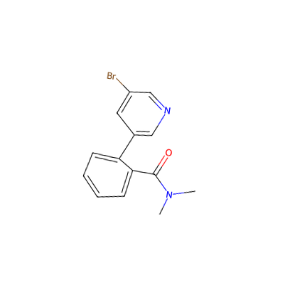 CN(C)C(=O)c1ccccc1-c1cncc(Br)c1